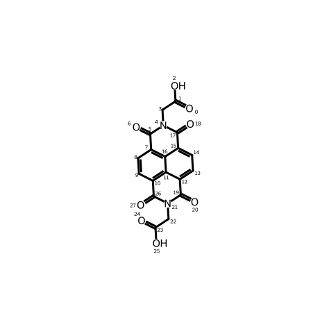 O=C(O)CN1C(=O)c2ccc3c4c(ccc(c24)C1=O)C(=O)N(CC(=O)O)C3=O